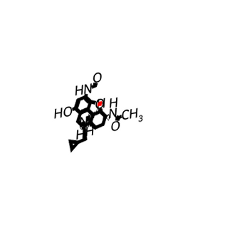 CC(=O)N[C@@H]1CC[C@H]2[C@H]3Cc4c(O)cc(NC=O)c5c4[C@@]2(CCN3CC2CC2)[C@H]1O5